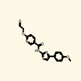 COc1ccc(-c2csc(NC(=O)c3ccc(OCC=O)nc3)n2)cc1